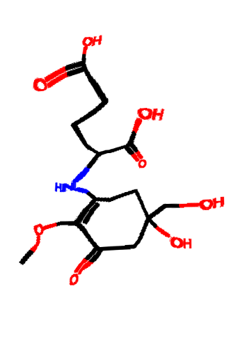 COC1=C(N[C@@H](CCC(=O)O)C(=O)O)CC(O)(CO)CC1=O